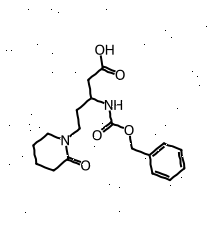 O=C(O)CC(CCN1CCCCC1=O)NC(=O)OCc1ccccc1